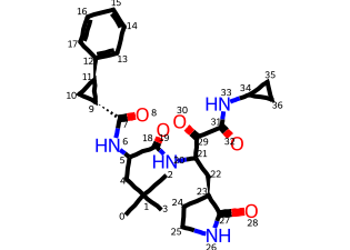 CC(C)(C)CC(NC(=O)[C@@H]1C[C@H]1c1ccccc1)C(=O)NC(C[C@@H]1CCNC1=O)C(=O)C(=O)NC1CC1